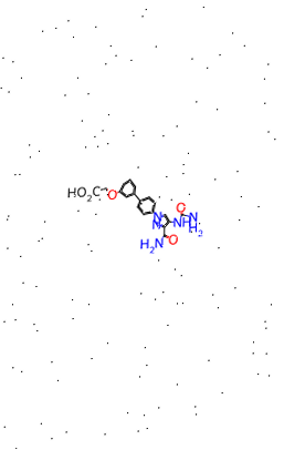 NC(=O)Nc1cn(-c2ccc(-c3cccc(OCC(=O)O)c3)cc2)nc1C(N)=O